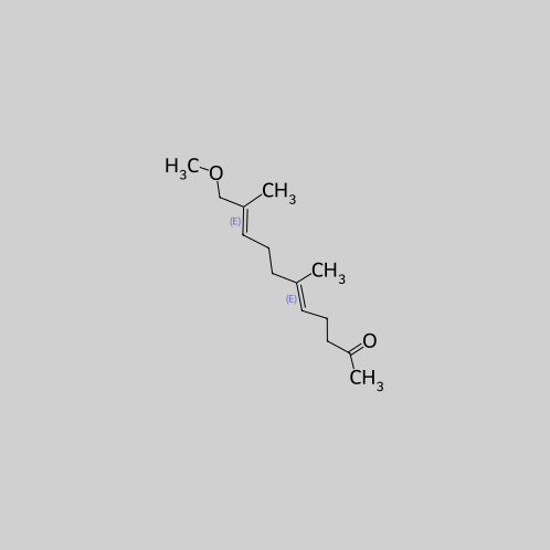 COC/C(C)=C/CC/C(C)=C/CCC(C)=O